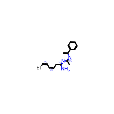 C=C(/N=C(C)\N=C(/N)C/C=C\C=C/CC)c1ccccc1